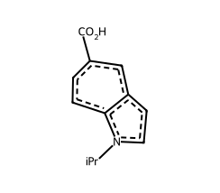 CC(C)n1ccc2cc(C(=O)O)ccc21